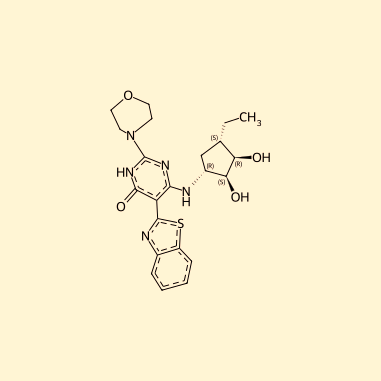 CC[C@H]1C[C@@H](Nc2nc(N3CCOCC3)[nH]c(=O)c2-c2nc3ccccc3s2)[C@H](O)[C@@H]1O